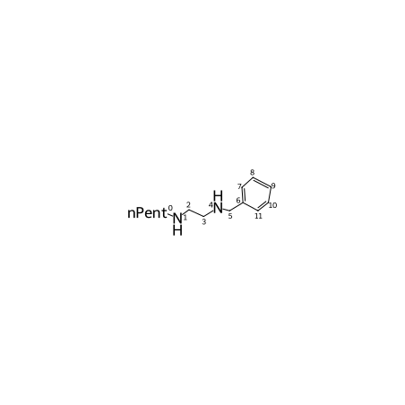 CCCCCNCCNCc1ccccc1